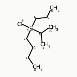 CCCC[Si](Cl)(CCC)C(C)C